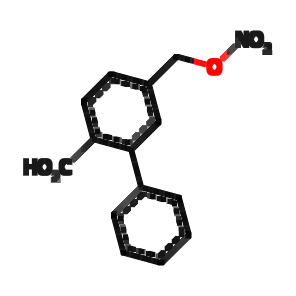 O=C(O)c1ccc(CO[N+](=O)[O-])cc1-c1ccccc1